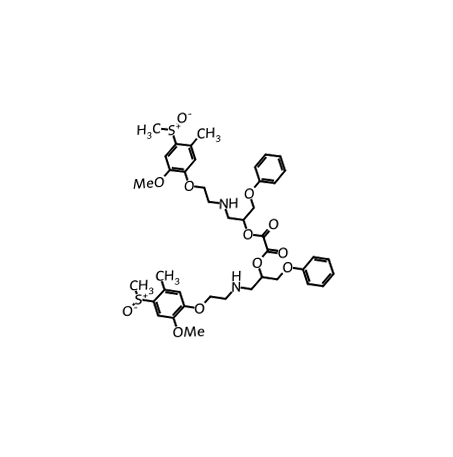 COc1cc([S+](C)[O-])c(C)cc1OCCNCC(COc1ccccc1)OC(=O)C(=O)OC(CNCCOc1cc(C)c([S+](C)[O-])cc1OC)COc1ccccc1